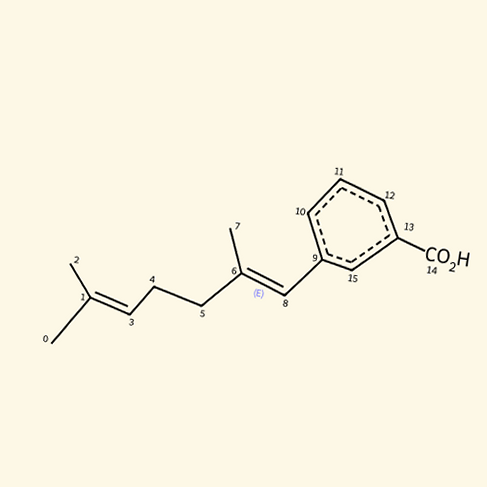 CC(C)=CCC/C(C)=C/c1cccc(C(=O)O)c1